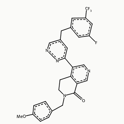 COc1ccc(CN2CCc3c(cncc3-c3cc(Cc4cc(F)cc(C(F)(F)F)c4)cnn3)C2=O)cc1